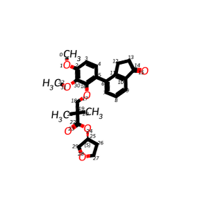 COc1ccc(-c2cccc3c2CCC3=O)c(OCC(C)(C)C(=O)O[C@H]2CCOC2)c1OC